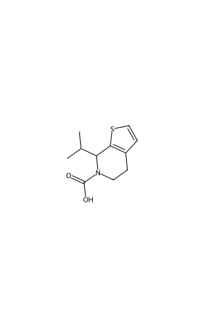 CC(C)C1c2sccc2CCN1C(=O)O